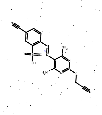 N#CCSc1nc(N)c(/N=N/c2ccc(C#N)cc2S(=O)(=O)O)c(N)n1